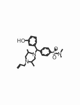 C=CCN1CC(C)N(C(c2ccc(S(=O)(=O)N(C)C)cc2)c2cccc(O)c2)CC1C